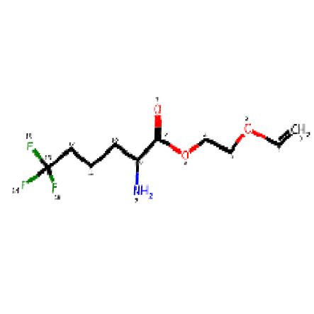 C=COCCOC(=O)C(N)CCCC(F)(F)F